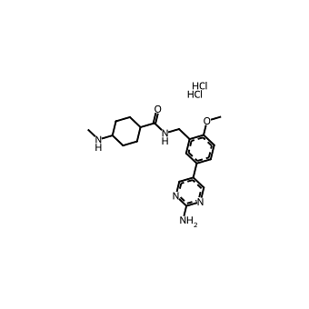 CNC1CCC(C(=O)NCc2cc(-c3cnc(N)nc3)ccc2OC)CC1.Cl.Cl